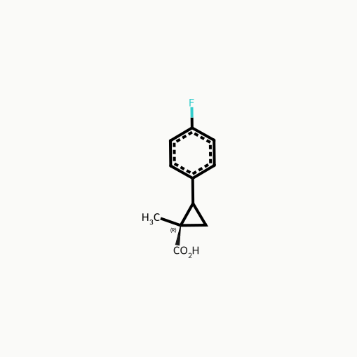 C[C@@]1(C(=O)O)CC1c1ccc(F)cc1